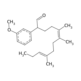 CCC=C(C)CCC(C)=C(C)CCC(C=O)c1cccc(OC)c1